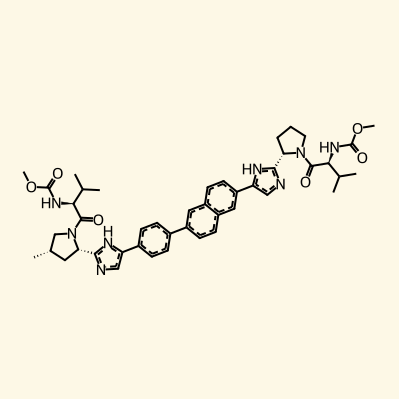 COC(=O)N[C@H](C(=O)N1CCC[C@H]1c1ncc(-c2ccc3cc(-c4ccc(-c5cnc([C@@H]6C[C@H](C)CN6C(=O)[C@@H](NC(=O)OC)C(C)C)[nH]5)cc4)ccc3c2)[nH]1)C(C)C